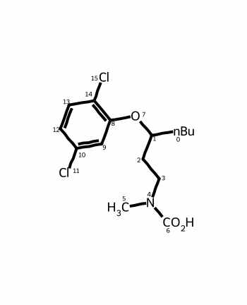 CCCCC(CCN(C)C(=O)O)Oc1cc(Cl)ccc1Cl